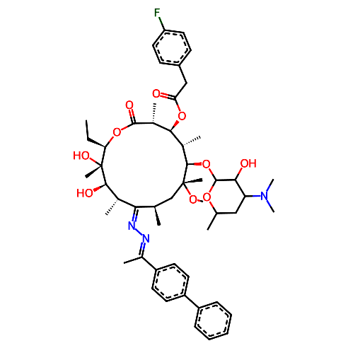 CC[C@H]1OC(=O)[C@H](C)[C@@H](OC(=O)Cc2ccc(F)cc2)[C@H](C)[C@@H](OC2OC(C)CC(N(C)C)C2O)[C@](C)(OC)C[C@@H](C)/C(=N\N=C(/C)c2ccc(-c3ccccc3)cc2)[C@H](C)[C@@H](O)[C@]1(C)O